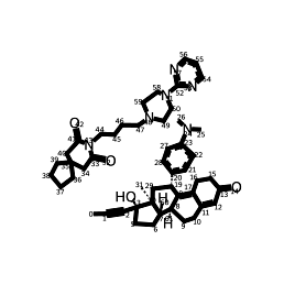 CC#C[C@]1(O)CC[C@H]2[C@@H]3CCC4=CC(=O)CCC4=C3[C@@H](c3ccc(N(C)C)cc3)C[C@@]21C.O=C1CC2(CCCC2)CC(=O)N1CCCCN1CCN(c2ncccn2)CC1